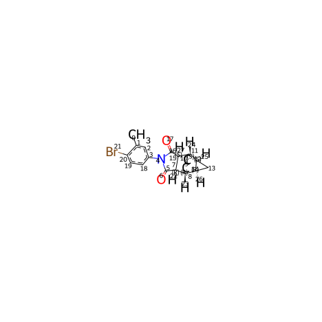 Cc1cc(N2C(=O)[C@@H]3[C@@H]4CC[C@@H]([C@H]5C[C@H]54)[C@@H]3C2=O)ccc1Br